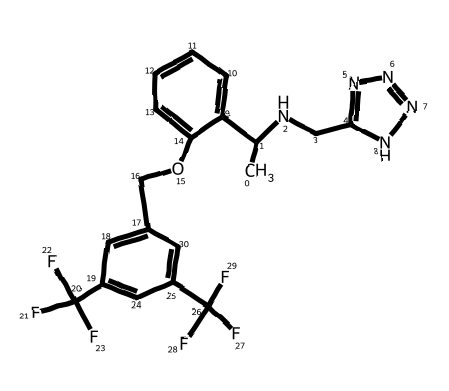 CC(NCc1nnn[nH]1)c1ccccc1OCc1cc(C(F)(F)F)cc(C(F)(F)F)c1